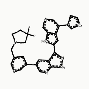 FC1(F)CCN(Cc2cncc(-c3cnc4[nH]nc(-c5cc6c(-c7ccoc7)cncc6[nH]5)c4c3)c2)C1